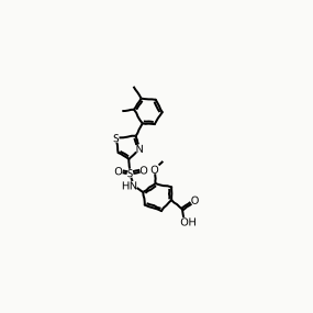 COc1cc(C(=O)O)ccc1NS(=O)(=O)c1csc(-c2cccc(C)c2C)n1